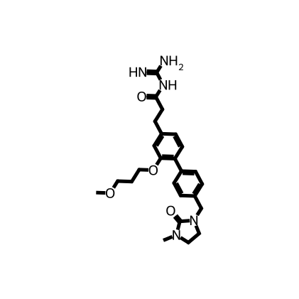 COCCCOc1cc(CCC(=O)NC(=N)N)ccc1-c1ccc(CN2CCN(C)C2=O)cc1